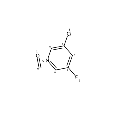 C=O.Fc1cncc(Cl)c1